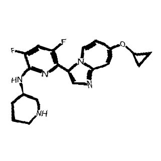 Fc1cc(F)c(-c2cnc3cc(OC4CC4)ccn23)nc1N[C@@H]1CCCNC1